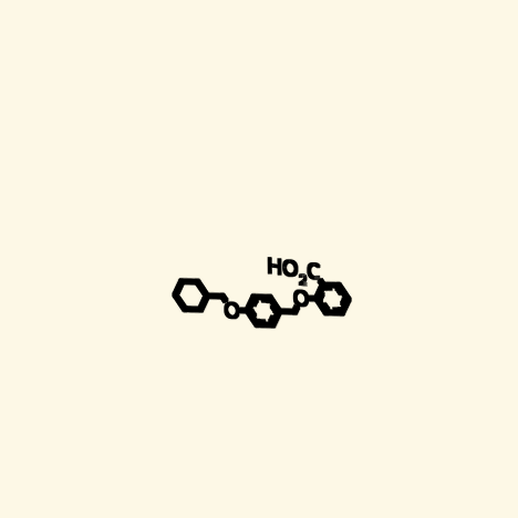 O=C(O)c1ccccc1OCc1ccc(OCC2CCCCC2)cc1